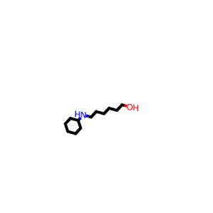 OCCCCCCNC1CCCCC1